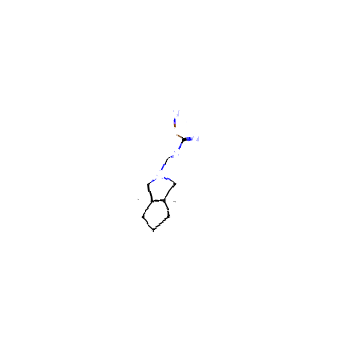 N=C(NCN1C[C@H]2CCC[C@H]2C1)SN